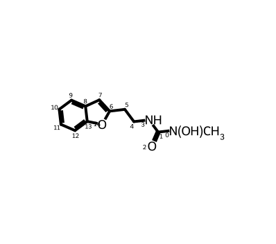 CN(O)C(=O)NCCc1cc2ccccc2o1